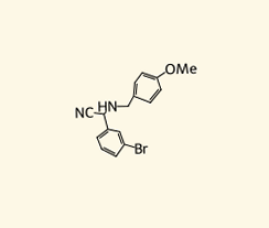 COc1ccc(CNC(C#N)c2cccc(Br)c2)cc1